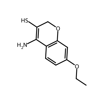 CCOc1ccc2c(c1)OCC(S)=C2N